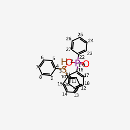 O=P(O[SH](c1ccccc1)c1ccccc1)(c1ccccc1)c1ccccc1